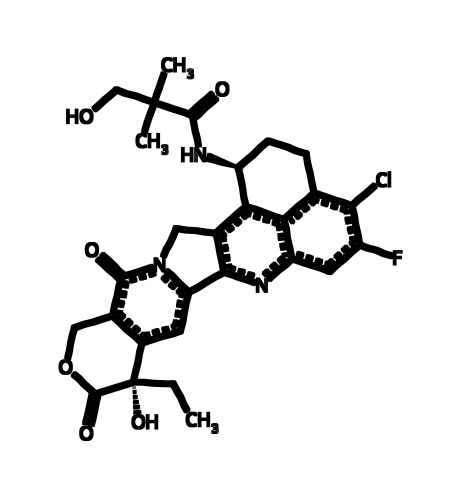 CC[C@@]1(O)C(=O)OCc2c1cc1n(c2=O)Cc2c-1nc1cc(F)c(Cl)c3c1c2[C@@H](NC(=O)C(C)(C)CO)CC3